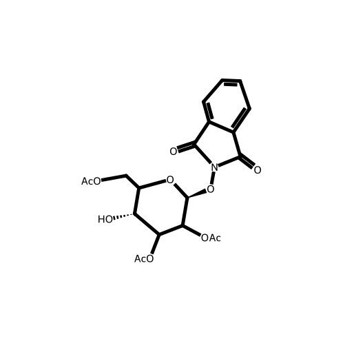 CC(=O)OCC1O[C@@H](ON2C(=O)c3ccccc3C2=O)C(OC(C)=O)C(OC(C)=O)[C@@H]1O